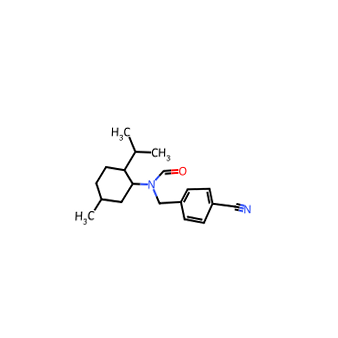 CC1CCC(C(C)C)C(N(C=O)Cc2ccc(C#N)cc2)C1